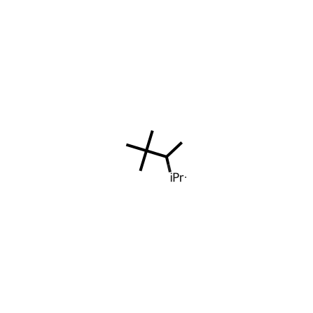 C[C](C)C(C)C(C)(C)C